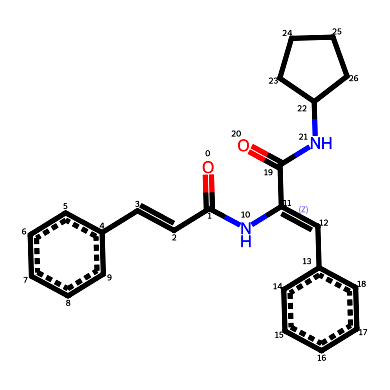 O=C(C=Cc1ccccc1)N/C(=C\c1ccccc1)C(=O)NC1CCCC1